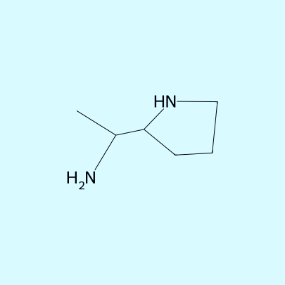 CC(N)C1CCCN1